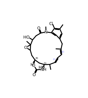 C/C1=C\C=C\C(C)[C@@]2(O)C[C@@H](CC3OC3(C)C(O)CC(=O)N(C)c3cc(cc(C)c3Cl)C1)OC(=O)N2